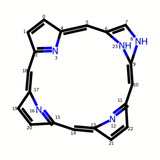 C1=CC2=NC1=CC1=CNC(=CC3=NC(=CC4=NC(=C2)C=C4)C=C3)N1